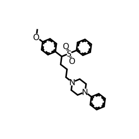 COc1ccc(C(CCCN2CCN(c3ccccc3)CC2)S(=O)(=O)c2ccccc2)cc1